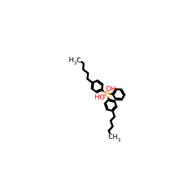 CCCCCc1ccc(P(O)(O)(c2ccccc2)c2ccc(CCCCC)cc2)cc1